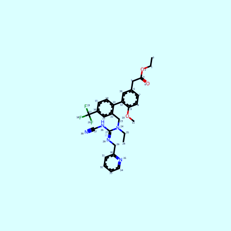 CCOC(=O)Cc1ccc(OC)c(-c2ccc(C(F)(F)F)cc2CN(CC)/C(=N\Cc2ccccn2)NC#N)c1